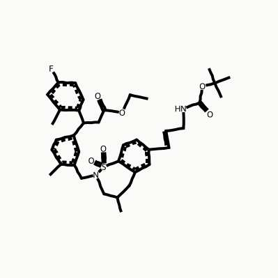 CCOC(=O)CC(c1ccc(C)c(CN2CC(C)Cc3cc(/C=C/CNC(=O)OC(C)(C)C)ccc3S2(=O)=O)c1)c1ccc(F)cc1C